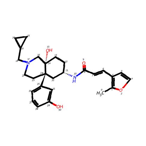 Cc1occc1/C=C/C(=O)N[C@H]1CC[C@]2(O)CN(CC3CC3)CC[C@@]2(c2cccc(O)c2)C1